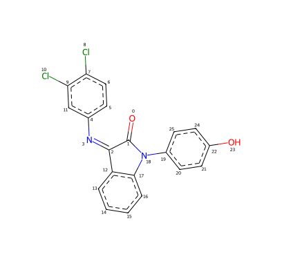 O=C1/C(=N\c2ccc(Cl)c(Cl)c2)c2ccccc2N1c1ccc(O)cc1